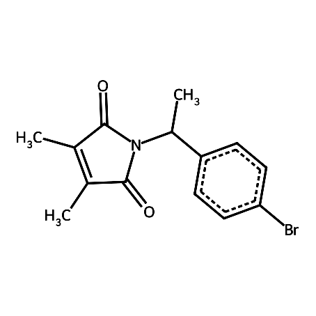 CC1=C(C)C(=O)N(C(C)c2ccc(Br)cc2)C1=O